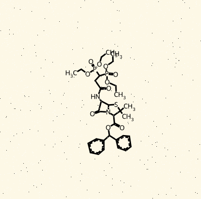 CCOP(=O)(OCC)C(CC(=O)NC1C(=O)N2C1SC(C)(C)C2C(=O)OC(c1ccccc1)c1ccccc1)P(=O)(OCC)OCC